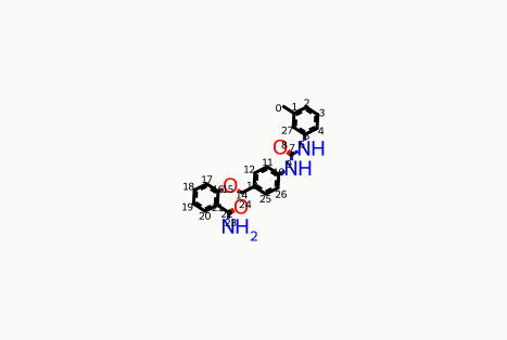 Cc1cccc(NC(=O)Nc2ccc(COc3ccccc3C(N)=O)cc2)c1